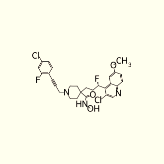 COc1ccc2ncc(Cl)c([C@H](F)CCC3(C(=O)NO)CCN(CC#Cc4ccc(Cl)cc4F)CC3)c2c1